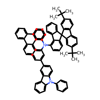 CC(C)(C)c1ccc2c(c1)C1(c3cc(C(C)(C)C)ccc3-2)c2ccccc2-c2c(N(c3cccc(-c4ccc5c(c4)c4ccccc4n5-c4ccccc4)c3)c3ccccc3-c3ccccc3-c3ccccc3-c3ccccc3)cccc21